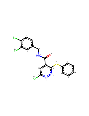 O=C(NCc1ccc(Cl)c(Cl)c1)c1cc(Cl)nnc1Sc1ccccc1